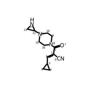 N#CC(=CC1CC1)C(=O)N1CCN(C2CN2)CC1